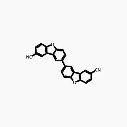 N#Cc1ccc2oc3ccc(-c4ccc5oc6ccc(C#N)cc6c5c4)cc3c2c1